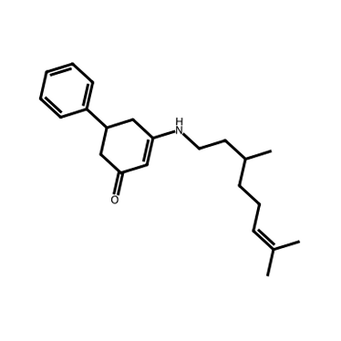 CC(C)=CCCC(C)CCNC1=CC(=O)CC(c2ccccc2)C1